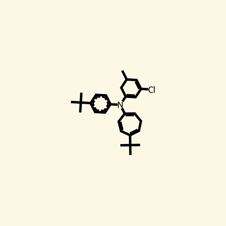 CC1C=C(Cl)C=C(N(C2=CCC=C(C(C)(C)C)C=C2)c2ccc(C(C)(C)C)cc2)C1